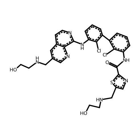 O=C(Nc1cccc(-c2cccc(Nc3nccc4cc(CNCCO)cnc34)c2Cl)c1Cl)c1ncc(CNCCO)s1